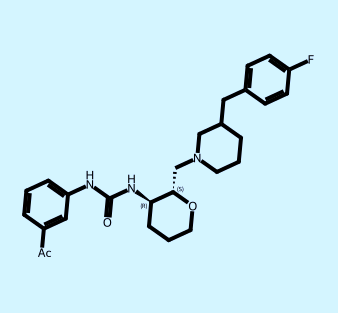 CC(=O)c1cccc(NC(=O)N[C@@H]2CCCO[C@H]2CN2CCCC(Cc3ccc(F)cc3)C2)c1